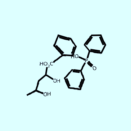 CC(O)CC(C)O.O=C(O)c1ccccc1.O=P(O)(c1ccccc1)c1ccccc1